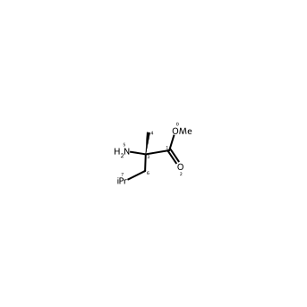 COC(=O)[C@@](C)(N)CC(C)C